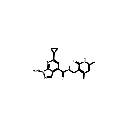 Cc1cc(C)c(CNC(=O)c2cc(C3CC3)nc3c2cnn3N)c(=O)[nH]1